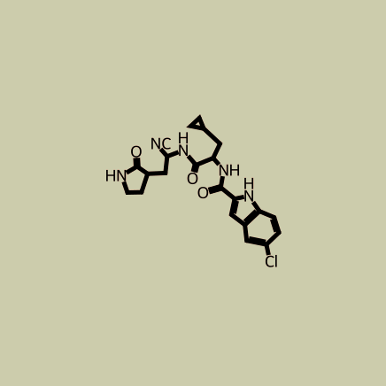 N#CC(CC1CCNC1=O)NC(=O)C(CC1CC1)NC(=O)c1cc2cc(Cl)ccc2[nH]1